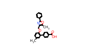 Cc1ccc(OCc2nc(-c3ccccc3)oc2C)c(-c2ccc(C(=O)O)cc2)c1